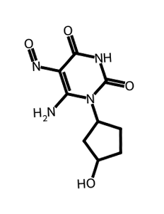 Nc1c(N=O)c(=O)[nH]c(=O)n1C1CCC(O)C1